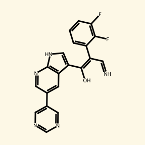 N=C/C(=C(\O)c1c[nH]c2ncc(-c3cncnc3)cc12)c1cccc(F)c1F